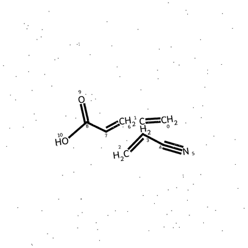 C=C.C=CC#N.C=CC(=O)O